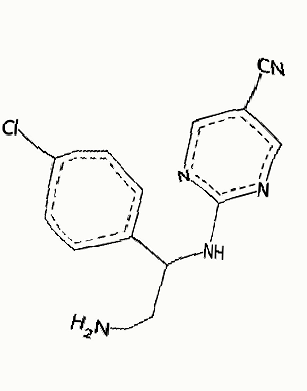 N#Cc1cnc(NC(CN)c2ccc(Cl)cc2)nc1